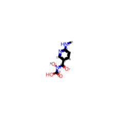 CNc1ccc(C(=O)N([O])C(=O)O)cn1